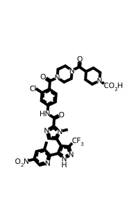 Cc1cc([N+](=O)[O-])cnc1-c1[nH]nc(C(F)(F)F)c1-c1cnc(C(=O)Nc2ccc(C(=O)N3CCN(C(=O)C4CCN(C(=O)O)CC4)CC3)c(Cl)c2)n1C